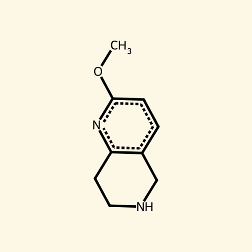 COc1ccc2c(n1)CCNC2